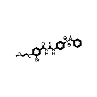 COCCOc1ccc(C(=O)NC(=S)Nc2ccc(S(=O)(=O)N(C)c3ccccc3)cc2)cc1Br